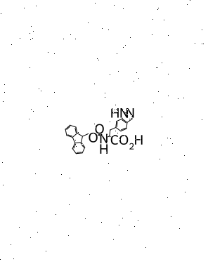 O=C(N[C@@H](Cc1ccc2cn[nH]c2c1)C(=O)O)OCC1c2ccccc2-c2ccccc21